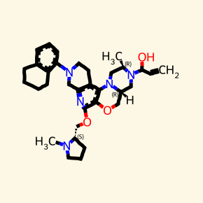 C=CC(O)N1C[C@@H]2COc3c(OC[C@@H]4CCCN4C)nc4c(c3N2C[C@H]1C)CCN(c1cccc2c1CCCC2)C4